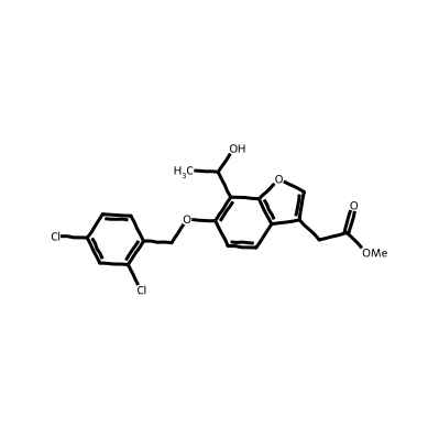 COC(=O)Cc1coc2c(C(C)O)c(OCc3ccc(Cl)cc3Cl)ccc12